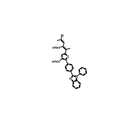 CCCCCCC(/C=C(\C)Br)=C(/C)c1cc(CCCCCC)c(-c2ccc(-c3nc4ccccc4n3-c3ccccc3)cc2)s1